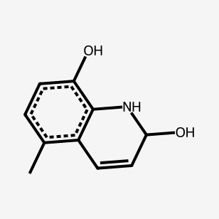 Cc1ccc(O)c2c1C=CC(O)N2